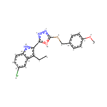 CCc1c(-c2nnc(SCc3ccc(OC)cc3)o2)[nH]c2ccc(Br)cc12